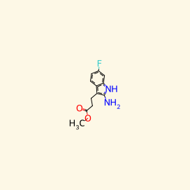 COC(=O)CCc1c(N)[nH]c2cc(F)ccc12